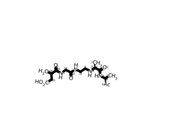 CC(=O)[C@H](C)NC(=O)[C@H](C)NCCNC(=O)CNC(=O)C(C)CC(=O)O